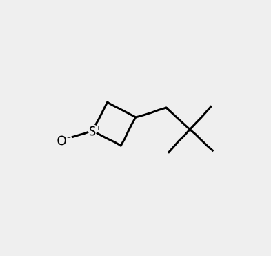 CC(C)(C)CC1C[S+]([O-])C1